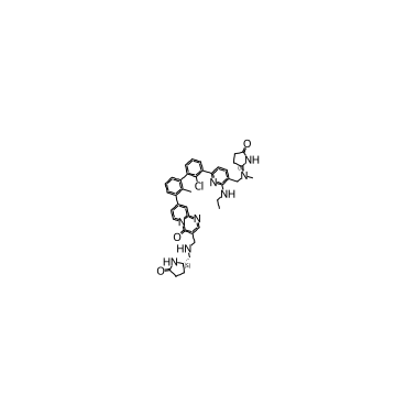 CCNc1nc(-c2cccc(-c3cccc(-c4ccn5c(=O)c(CNC[C@@H]6CCC(=O)N6)cnc5c4)c3C)c2Cl)ccc1CN(C)[C@H]1CCC(=O)N1